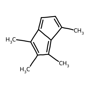 CC1=CC=C2C(C)=C(C)C(C)=C12